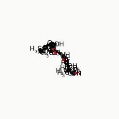 Cc1ncsc1-c1ccc(CNC(=O)[C@@H]2C[C@@H](O)CN2C(=O)[C@@H](NC(=O)COCCNc2ccc(-c3c(F)cc(C(O)N[C@H]4C(C)(C)[C@H](Oc5ccc(C#N)c(Cl)c5)C4(C)C)cc3F)cn2)C(C)(C)C)cc1